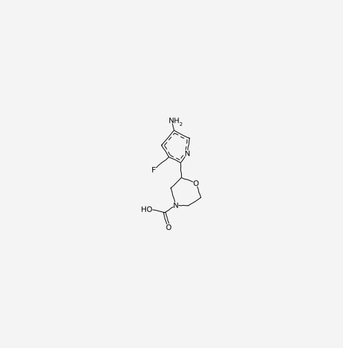 Nc1cnc(C2CN(C(=O)O)CCO2)c(F)c1